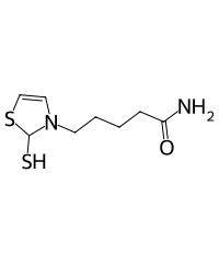 NC(=O)CCCCN1C=CSC1S